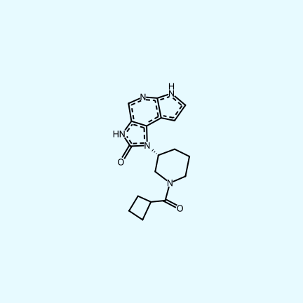 O=C(C1CCC1)N1CCC[C@@H](n2c(=O)[nH]c3cnc4[nH]ccc4c32)C1